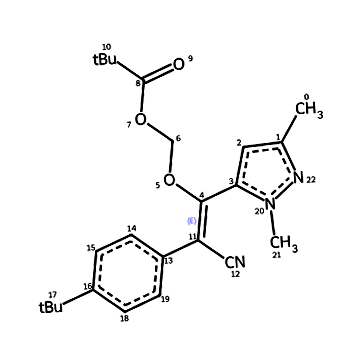 Cc1cc(/C(OCOC(=O)C(C)(C)C)=C(\C#N)c2ccc(C(C)(C)C)cc2)n(C)n1